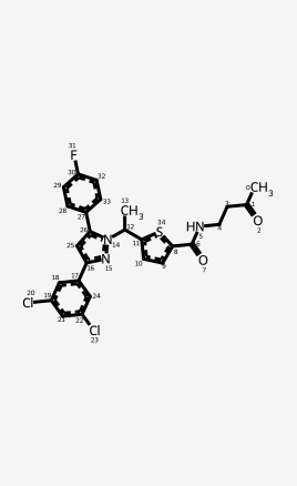 CC(=O)CCNC(=O)c1ccc(C(C)n2nc(-c3cc(Cl)cc(Cl)c3)cc2-c2ccc(F)cc2)s1